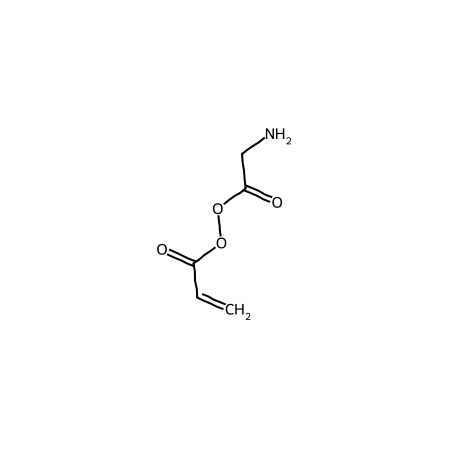 C=CC(=O)OOC(=O)CN